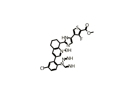 COC(=O)c1scc(-c2cnc(C3CCCc4cc(-c5cc(Cl)ccc5N(C=N)N=N)c[n+](O)c43)[nH]2)c1F